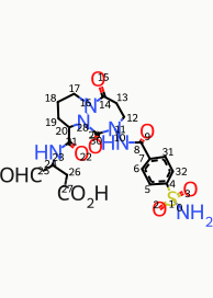 NS(=O)(=O)c1ccc(C(=O)NN2CCC(=O)N3CCCC(C(=O)NC(C=O)CC(=O)O)N3C2=O)cc1